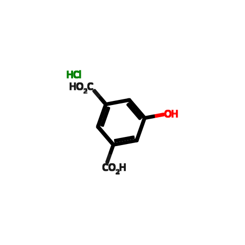 Cl.O=C(O)c1cc(O)cc(C(=O)O)c1